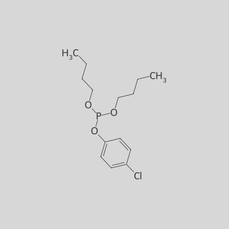 CCCCOP(OCCCC)Oc1ccc(Cl)cc1